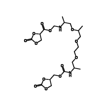 CC(COC(C)COCCOCC(C)NC(=O)OCC1COC(=O)O1)NCOC(=O)C1COC(=O)O1